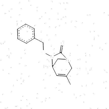 CC1=C[C@@H]2CN(C(=O)N2OCc2ccccc2)[C@@H]1C(=O)O